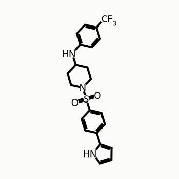 O=S(=O)(c1ccc(-c2ccc[nH]2)cc1)N1CCC(Nc2ccc(C(F)(F)F)cc2)CC1